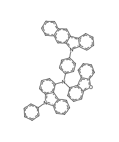 c1ccc(-n2c3ccccc3c3c(N(c4ccc(-n5c6ccccc6c6cc7ccccc7cc65)cc4)c4cccc5oc6ccccc6c45)cccc32)cc1